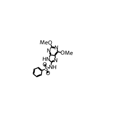 COc1nc(OC)c2nc(NS(=O)(=O)c3ccccc3)[nH]c2n1